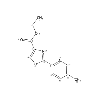 CCOC(=O)c1coc(-c2ccc(C)cn2)n1